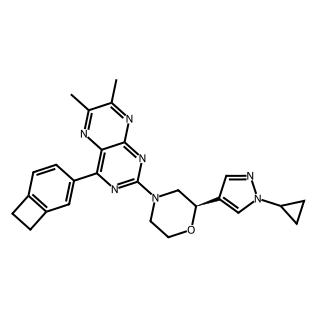 Cc1nc2nc(N3CCO[C@H](c4cnn(C5CC5)c4)C3)nc(-c3ccc4c(c3)CC4)c2nc1C